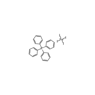 [I][Fe-]([I])([I])[I].c1ccc([P+](c2ccccc2)(c2ccccc2)c2ccccc2)cc1